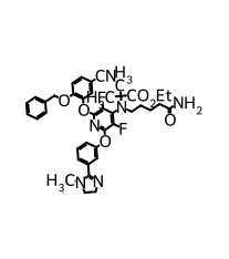 CCOC(=O)C(C)(C)N(CCCCC(N)=O)c1c(F)c(Oc2cccc(C3=NCCN3C)c2)nc(Oc2cc(C#N)ccc2OCc2ccccc2)c1F